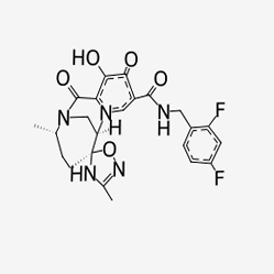 CC1=NO[C@@]2(CC[C@H](C)N3C[C@H]2n2cc(C(=O)NCc4ccc(F)cc4F)c(=O)c(O)c2C3=O)N1